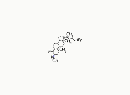 CC(C)CCC[C@@H](C)[C@H]1CCC2C3CCC4=C(F)/C(=N/O)CC[C@]4(C)C3CC[C@@]21C